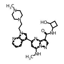 CNc1cc(-c2cn(CCN3CCN(C)CC3)c3ncccc23)nc2c(C(=O)NC3CCC3O)cnn12